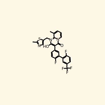 Cc1ncc(C[n+]2c(O)c(-c3ccc(F)c(-c4cc(C(F)(F)F)ccc4F)c3)c(=O)n3cccc(C)c32)s1